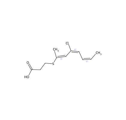 C\C=C/C=C(Cl)\C=C(/C)SCCC(=O)O